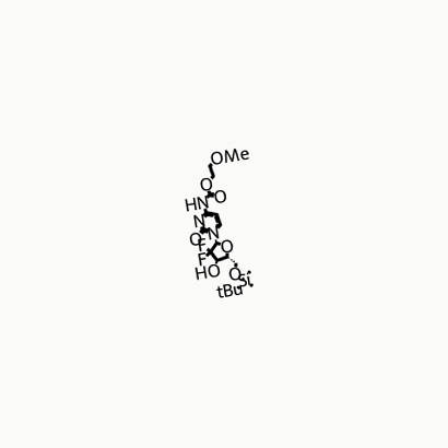 COCCOC(=O)Nc1ccn([C@@H]2O[C@H](CO[Si](C)(C)C(C)(C)C)[C@@H](O)C2(F)F)c(=O)n1